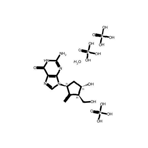 C=C1[C@H](CO)[C@@H](O)C[C@@H]1n1cnc2c(=O)[nH]c(N)nc21.O.O=P(O)(O)O.O=P(O)(O)O.O=P(O)(O)O